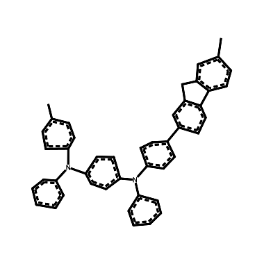 Cc1ccc(N(c2ccccc2)c2ccc(N(c3ccccc3)c3ccc(-c4ccc5c(c4)Cc4cc(C)ccc4-5)cc3)cc2)cc1